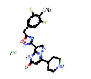 COc1c(F)cc(Cc2nc(-c3cnn4c(C5CCNCC5)cc(=O)[nH]c34)no2)cc1F.Cl